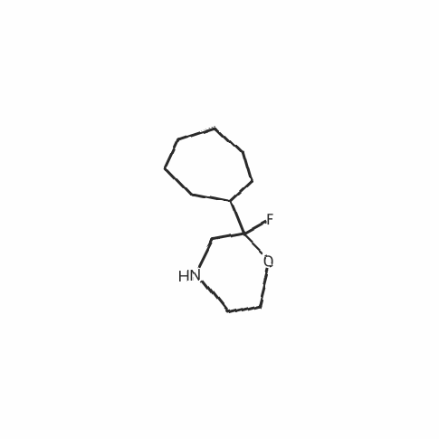 FC1(C2CCCCCC2)CNCCO1